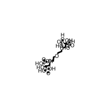 O=P(O)(O)C(O)(COCCOCCOCC(O)(P(=O)(O)O)P(=O)(O)O)P(=O)(O)O